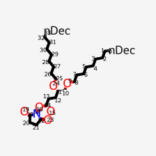 CCCCCCCCCCCCCCCCCCOC[C@H](CCC(=O)ON1C(=O)CCC1=O)OCCCCCCCCCCCCCCCCCC